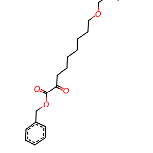 CCOCCCCCCCC(=O)C(=O)OCc1ccccc1